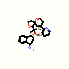 CCOC(C[C@H]1CC[C@@H](N)c2ccccc21)(C1OCCC12CC(c1ccccn1)CCO2)[N+](=O)[O-]